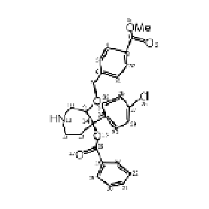 COC(=O)c1ccc(COC2CNCCC2(OC(=O)c2ccccc2)c2ccc(Cl)cc2)cc1